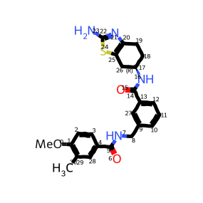 COc1ccc(C(=O)NCc2cccc(C(=O)N[C@@H]3CCc4nc(N)sc4C3)c2)cc1C